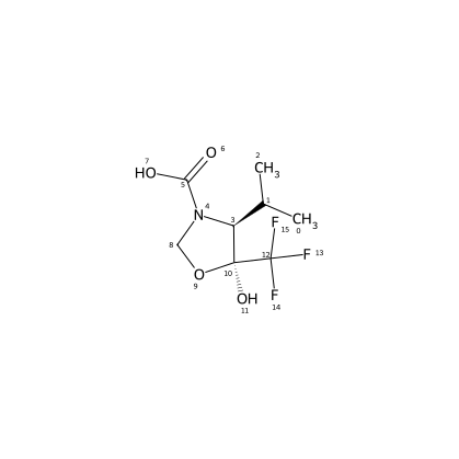 CC(C)[C@@H]1N(C(=O)O)CO[C@]1(O)C(F)(F)F